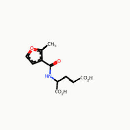 Cc1occc1C(=O)NC(CCC(=O)O)C(=O)O